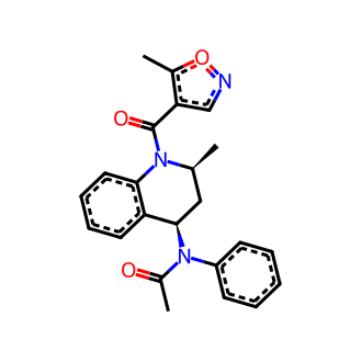 CC(=O)N(c1ccccc1)[C@@H]1C[C@H](C)N(C(=O)c2cnoc2C)c2ccccc21